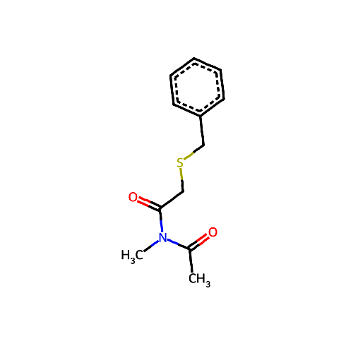 CC(=O)N(C)C(=O)CSCc1ccccc1